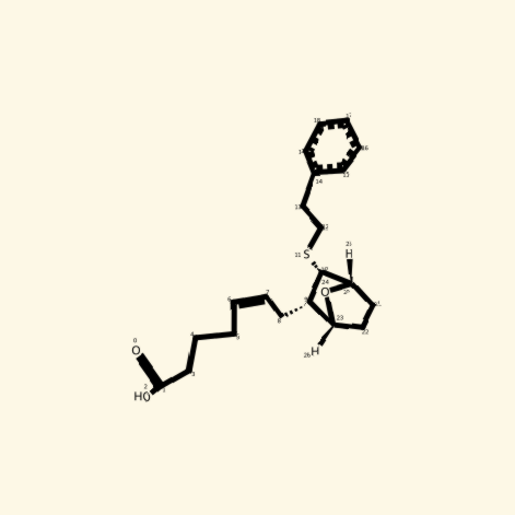 O=C(O)CCC/C=C\C[C@@H]1[C@H](SCCc2ccccc2)[C@@H]2CC[C@H]1O2